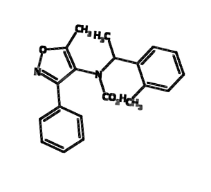 Cc1ccccc1C(C)N(C(=O)O)c1c(-c2ccccc2)noc1C